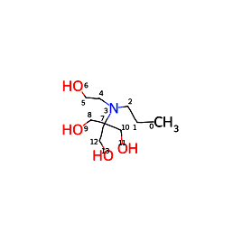 CCCN(CCO)C(CO)(CO)CO